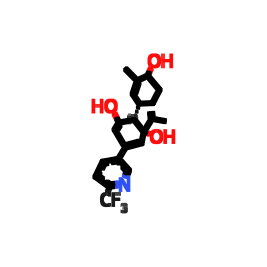 C=C(C)C1(O)C=C(c2ccc(C(F)(F)F)nc2)C=C(O)[C@@H]1C1C=C(C)C(O)CC1